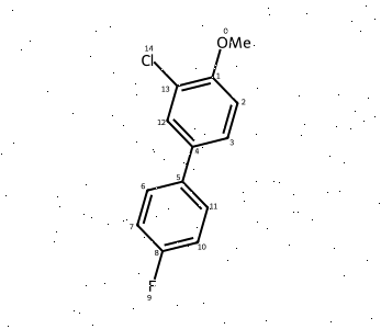 COc1ccc(-c2ccc(F)cc2)cc1Cl